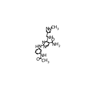 CC(=O)Nc1cccc(Nc2ncc(C(N)=O)c(NCc3cnn(C)c3)n2)c1